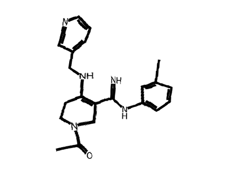 CC(=O)N1CCC(NCc2cccnc2)=C(C(=N)Nc2cccc(C)c2)C1